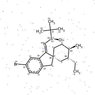 CC[C@@H]1C[C@]2(CC[C@H]1C)Cc1ccc(Br)cc1/C2=N/[S@+]([O-])C(C)(C)C